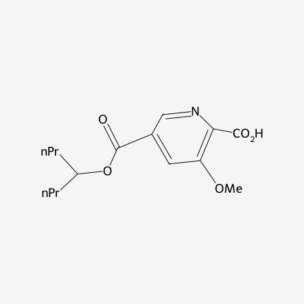 CCCC(CCC)OC(=O)c1cnc(C(=O)O)c(OC)c1